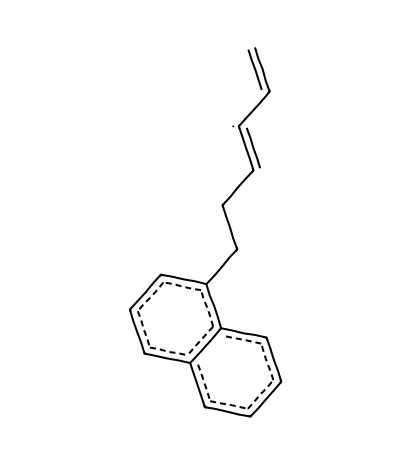 C=C[C]=CCCc1cccc2ccccc12